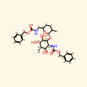 CC1CCC(CNC(=O)OCc2ccccc2)O[C@@H]1OC1C(O)[C@@H](O)[C@H](C)C(O)[C@@H]1NC(=O)OCc1ccccc1